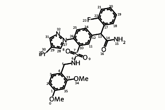 COc1ccc(CNS(=O)(=O)c2cc(C(C(N)=O)c3ccccc3F)ccc2-n2cc(C(C)C)cn2)c(OC)c1